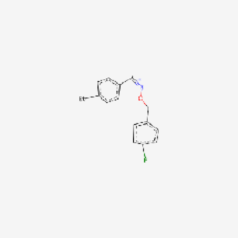 CCc1ccc(/[C]=N\OCc2ccc(F)cc2)cc1